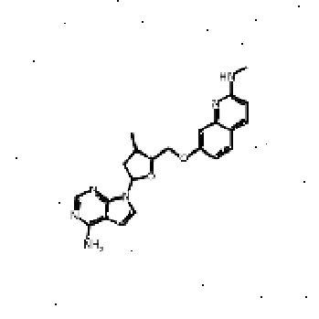 CNc1ccc2ccc(OCC3OC(n4ccc5c(N)ncnc54)CC3C)cc2n1